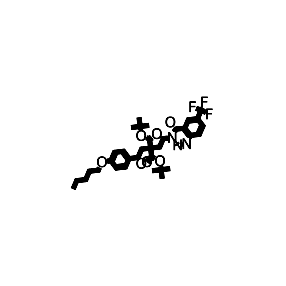 CCCCCOc1ccc(C(=O)CC(CCn2nnc3ccc(C(F)(F)F)cc3c2=O)(C(=O)OC(C)(C)C)C(=O)OC(C)(C)C)cc1